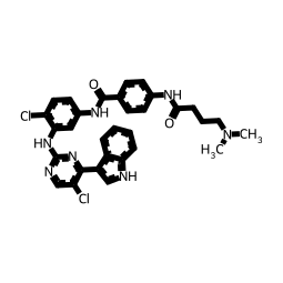 CN(C)CCCC(=O)Nc1ccc(C(=O)Nc2ccc(Cl)c(Nc3ncc(Cl)c(-c4c[nH]c5ccccc45)n3)c2)cc1